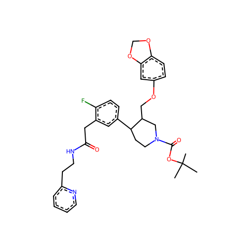 CC(C)(C)OC(=O)N1CCC(c2ccc(F)c(CC(=O)NCCc3ccccn3)c2)C(COc2ccc3c(c2)OCO3)C1